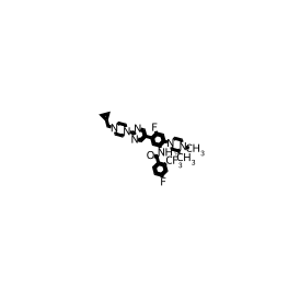 C[C@H]1CN(c2cc(F)c(-c3cnc(N4CCN(CC5CC5)CC4)nc3)cc2NC(=O)c2ccc(F)cc2C(F)(F)F)CCN1C